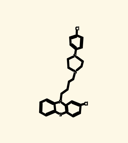 Clc1ccc(N2CCN(CCCCN3c4ccccc4Sc4ccc(Cl)cc43)CC2)cc1